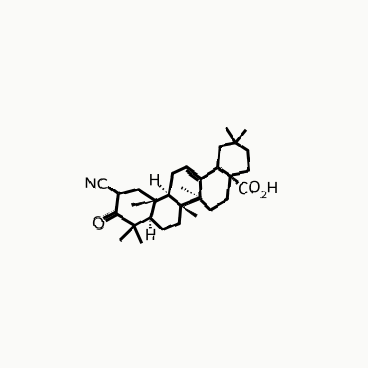 CC1(C)CC[C@]2(C(=O)O)CC[C@]3(C)C(=CC[C@@H]4[C@@]5(C)CC(C#N)C(=O)C(C)(C)[C@@H]5CC[C@]43C)C2C1